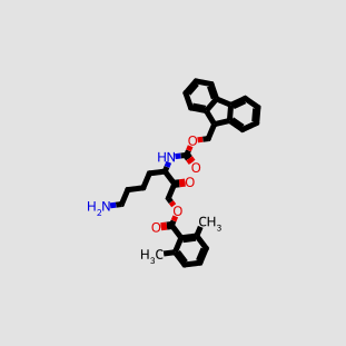 Cc1cccc(C)c1C(=O)OCC(=O)C(CCCCN)NC(=O)OCC1c2ccccc2-c2ccccc21